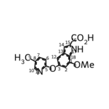 COc1cc(Oc2ccc(C)cn2)cc2cc(C(=O)O)[nH]c12